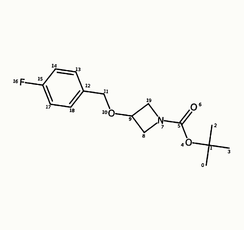 CC(C)(C)OC(=O)N1CC(OCc2ccc(F)cc2)C1